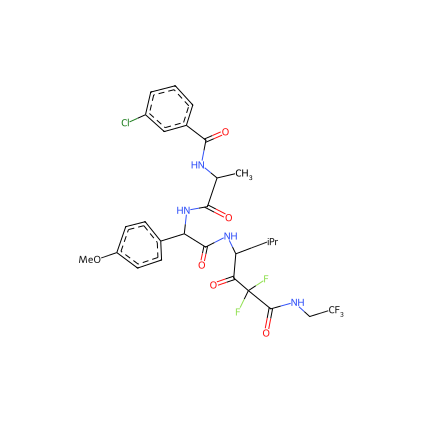 COc1ccc(C(NC(=O)C(C)NC(=O)c2cccc(Cl)c2)C(=O)NC(C(=O)C(F)(F)C(=O)NCC(F)(F)F)C(C)C)cc1